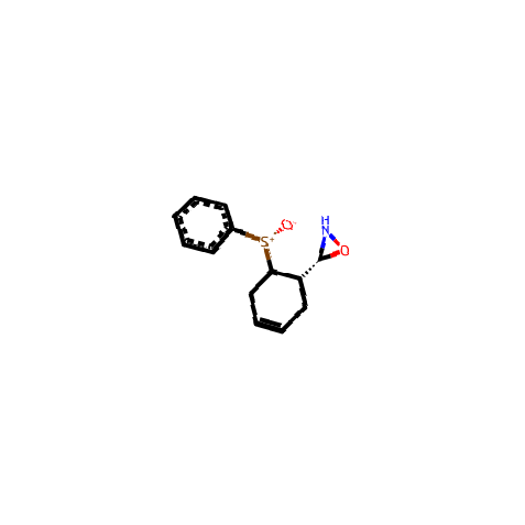 [O-][S@@+](c1ccccc1)C1CC=CCC1[C@@H]1NO1